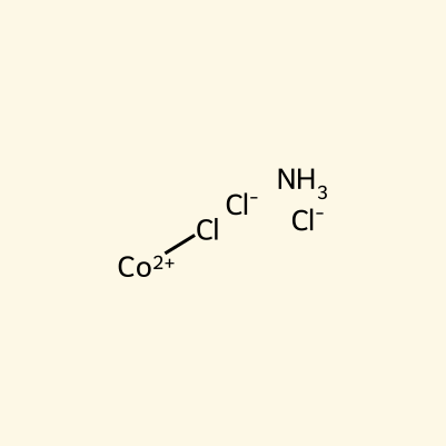 N.[Cl-].[Cl-].[Cl][Co+2]